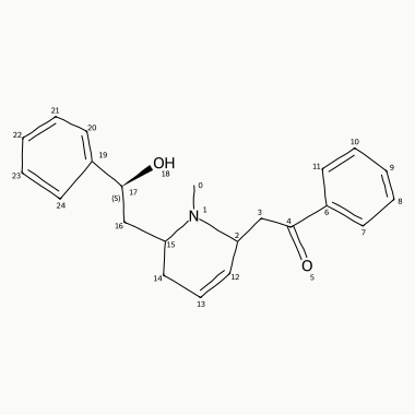 CN1C(CC(=O)c2ccccc2)C=CCC1C[C@H](O)c1ccccc1